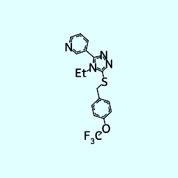 CCn1c(SCc2ccc(OC(F)(F)F)cc2)nnc1-c1cccnc1